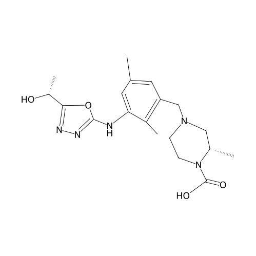 Cc1cc(CN2CCN(C(=O)O)[C@@H](C)C2)c(C)c(Nc2nnc([C@@H](C)O)o2)c1